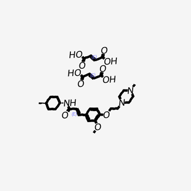 COc1cc(/C=C/C(=O)N[C@H]2CC[C@H](C)CC2)ccc1OCCN1CCN(C)CC1.O=C(O)/C=C/C(=O)O.O=C(O)/C=C/C(=O)O